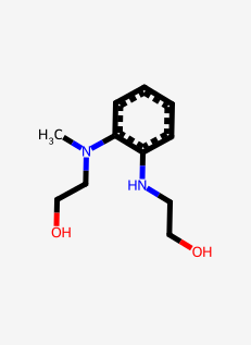 CN(CCO)c1ccccc1NCCO